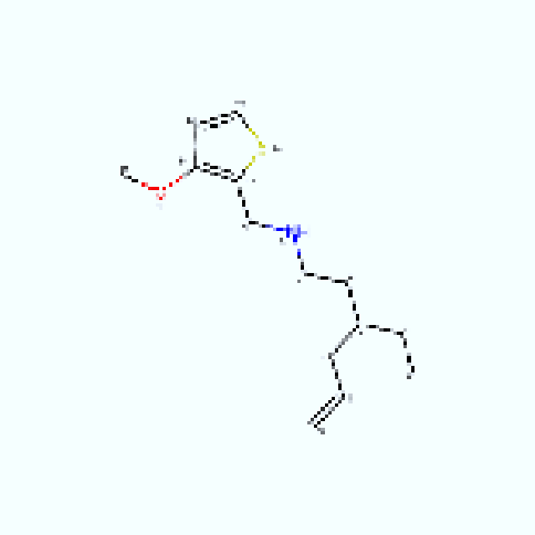 C=CCC(CC)CCNCc1sccc1OC